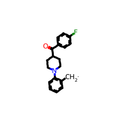 [CH2]c1ccccc1N1CCC(C(=O)c2ccc(F)cc2)CC1